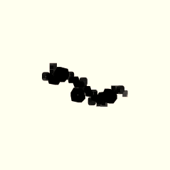 CC(=O)C(=Cc1cccc([N+](=O)[O-])c1)C(=O)OCCN(C(=O)CCCOc1ccc2[nH]c(=O)ccc2c1)C1CCCCC1